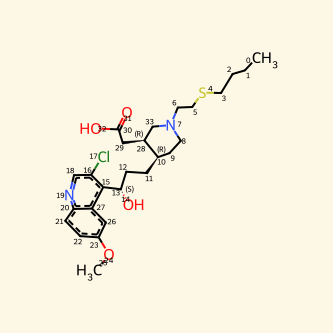 CCCCSCCN1CC[C@@H](CC[C@H](O)c2c(Cl)cnc3ccc(OC)cc23)[C@@H](CC(=O)O)C1